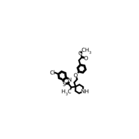 COC(=O)Cc1cccc(OCCC2(C(C)c3nc4ccc(Cl)cc4s3)CCNCC2)c1